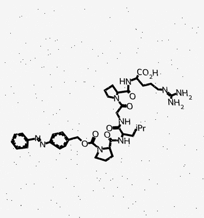 CC(C)CC(NC(=O)C1CCCN1C(=O)OCc1ccc(N=Nc2ccccc2)cc1)C(=O)NCC(=O)N1CCCC1C(=O)NC(CCCN=C(N)N)C(=O)O